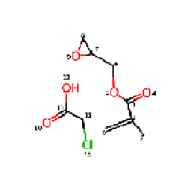 C=C(C)C(=O)OCC1CO1.O=C(O)CCl